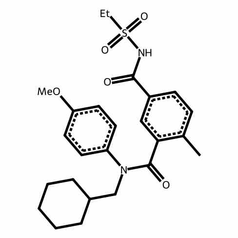 CCS(=O)(=O)NC(=O)c1ccc(C)c(C(=O)N(CC2CCCCC2)c2ccc(OC)cc2)c1